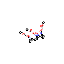 O=C(CCCOCC(O)CNc1cc2ccc3cccc4cc(-c5ccc6c(NCC(O)COCCCC(=O)OCc7ccccc7)cc7c8cc(-c9ccc%10c(NCC(O)COCCCC(=O)OCc%11ccccc%11)cc%11ccccc%11c%10c9)ccc8ccc7c6c5)c(c1)c2c34)OCc1ccccc1